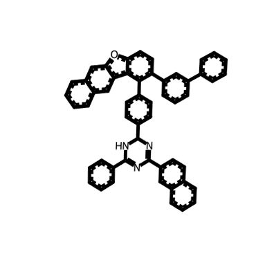 c1ccc(C2=NC(c3ccc4ccccc4c3)=NC(c3ccc(-c4c(-c5cccc(-c6ccccc6)c5)ccc5oc6cc7ccccc7cc6c45)cc3)N2)cc1